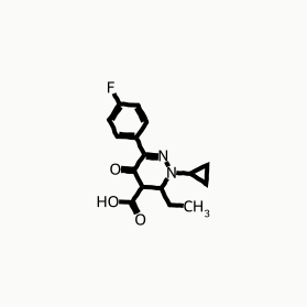 CCC1C(C(=O)O)C(=O)C(c2ccc(F)cc2)=NN1C1CC1